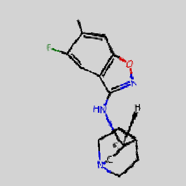 Cc1cc2onc(N[C@H]3CN4CCC3CC4)c2cc1F